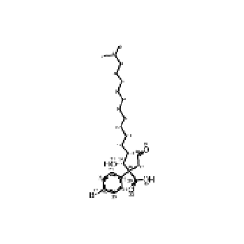 CC(C)CCCCCCCCCCC[C@@H](O)C(CC=O)(C(=O)O)c1ccc(Br)cc1